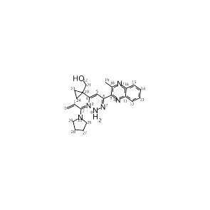 C=C\C(=N/C(=C\C(=N/N)c1nc2ccccc2nc1C)C1(CO)CC1)N1CCCC1